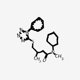 CC(CSc1nnnn1-c1ccccc1)CC(=O)N(C)C1CCCCC1